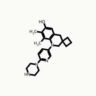 Cc1c(O)cc2c(c1C)N(c1ccc(N3CCNCC3)nc1)CC1(CCC1)C2